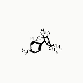 Cc1ccc(C2C3C(C(=O)C2(C)C)C3(C)C)cc1